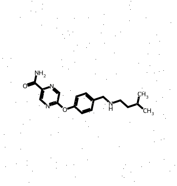 CC(C)CCNCc1ccc(Oc2cnc(C(N)=O)cn2)cc1